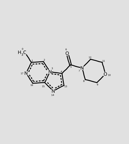 Cc1cn2c(C(=O)N3CCOCC3)cnc2cn1